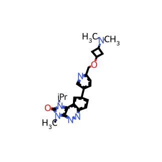 CC(C)n1c(=O)n(C)c2nnc3ccc(-c4ccc(COC5CC(N(C)C)C5)nc4)cc3c21